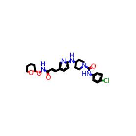 O=C(/C=C/c1ccc(NC2CCN(C(=O)Nc3ccc(Cl)cc3)CC2)nc1)NOC1CCCCO1